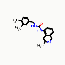 Cc1cc2c(NC(=O)NCc3ccc(C)c(C)c3)cccc2cn1